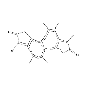 CCC1=c2c(C)c(C)c3c4c(c(C)c(C)c3c2CC1=O)=C(C)C(=O)C4